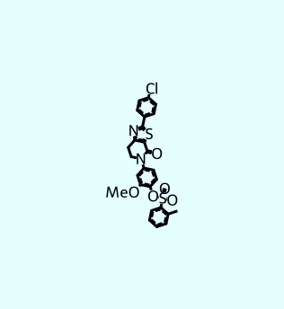 COc1cc(N2CCc3nc(-c4ccc(Cl)cc4)sc3C2=O)ccc1OS(=O)(=O)c1ccccc1C